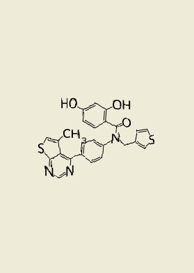 Cc1csc2ncnc(-c3ccc(N(Cc4ccsc4)C(=O)c4ccc(O)cc4O)cc3)c12